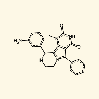 Cn1c(=O)[nH]c(=O)c2c(-c3ccccc3)n3c(c21)C(c1cccc(N)c1)NCC3